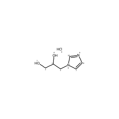 Cl.OCC(O)Cn1ccnc1